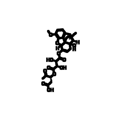 COc1ccc2c3c1O[C@H]1C(OC(=O)[C@H](O)[C@@H](O)C(=O)O[C@H](CC(=O)O)C(C)=O)=CC[C@@]4(O)[C@@H](C2)N(C)CC[C@]314